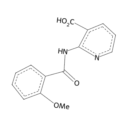 COc1ccccc1C(=O)Nc1ncccc1C(=O)O